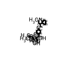 Cc1cc(COc2ccc(C(O)C(C(=O)NO)N(C)C(=O)OC(C)(C)C)cc2)c2ccccc2n1